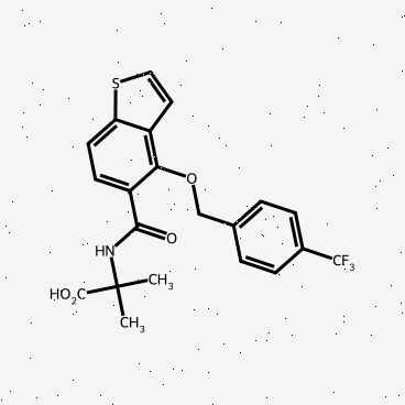 CC(C)(NC(=O)c1ccc2sccc2c1OCc1ccc(C(F)(F)F)cc1)C(=O)O